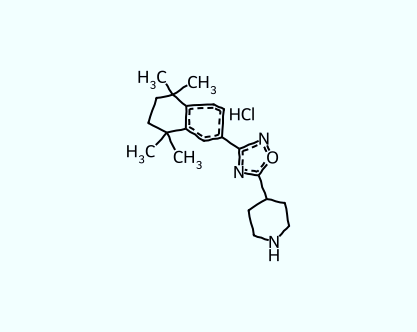 CC1(C)CCC(C)(C)c2cc(-c3noc(C4CCNCC4)n3)ccc21.Cl